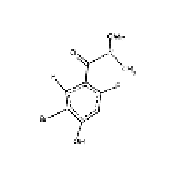 CON(C)C(=O)c1c(F)cc(O)c(Br)c1F